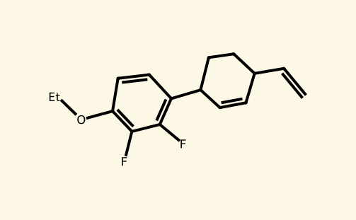 C=CC1C=CC(c2ccc(OCC)c(F)c2F)CC1